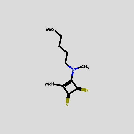 CNc1c(N(C)CCCCSC)c(=S)c1=S